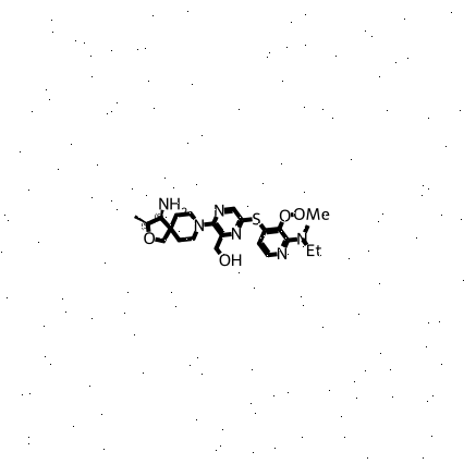 CCN(C)c1nccc(Sc2cnc(N3CCC4(CC3)CO[C@@H](C)[C@H]4N)c(CO)n2)c1OOC